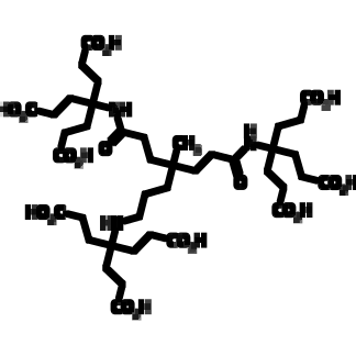 CC(CCCNC(CCC(=O)O)(CCC(=O)O)CCC(=O)O)(CCC(=O)NC(CCC(=O)O)(CCC(=O)O)CCC(=O)O)CCC(=O)NC(CCC(=O)O)(CCC(=O)O)CCC(=O)O